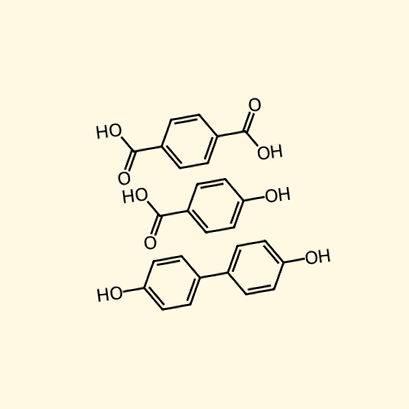 O=C(O)c1ccc(C(=O)O)cc1.O=C(O)c1ccc(O)cc1.Oc1ccc(-c2ccc(O)cc2)cc1